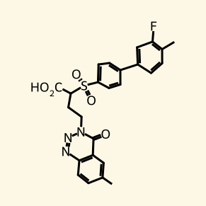 Cc1ccc2nnn(CCC(C(=O)O)S(=O)(=O)c3ccc(-c4ccc(C)c(F)c4)cc3)c(=O)c2c1